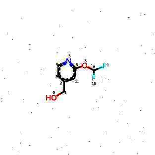 OCc1ccnc(OC(F)F)c1